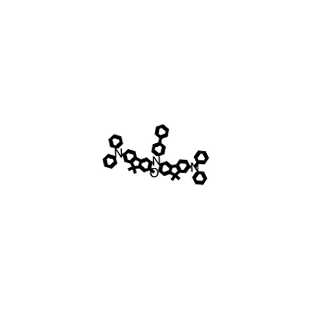 CC1(C)c2cc(N(c3ccccc3)c3ccccc3)ccc2-c2cc3c(cc21)Oc1cc2c(cc1N3c1ccc(-c3ccccc3)cc1)-c1ccc(N(c3ccccc3)c3ccccc3)cc1C2(C)C